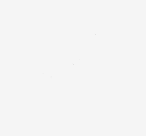 Cc1cccc2c1N(C1CCN(S(=O)(=O)c3ccc(Cl)c(N=O)c3)CC1)C(=O)OC2